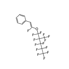 FC(=Cc1ccccc1)OC(F)(F)C(F)(C(F)(F)F)C(F)(F)C(F)(F)C(F)(F)F